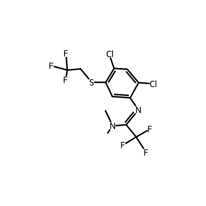 CN(C)/C(=N\c1cc(SCC(F)(F)F)c(Cl)cc1Cl)C(F)(F)F